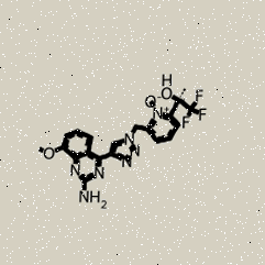 COc1cccc2c(-c3cn(Cc4cccc([C@@](C)(O)C(F)(F)F)[n+]4[O-])nn3)nc(N)nc12